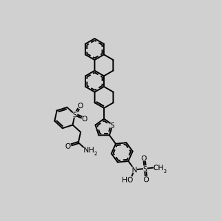 CS(=O)(=O)N(O)c1ccc(-c2ccc(C3=Cc4ccc5c(c4CC3)CCc3ccccc3-5)s2)cc1.NC(=O)CC1C=CC=CS1(=O)=O